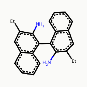 CCc1cc2ccccc2c(-c2c(N)c(CC)cc3ccccc23)c1N